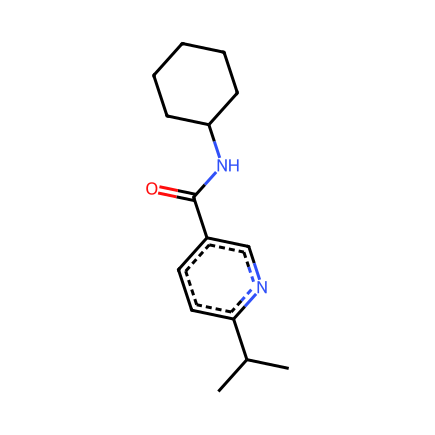 CC(C)c1ccc(C(=O)NC2CCCCC2)cn1